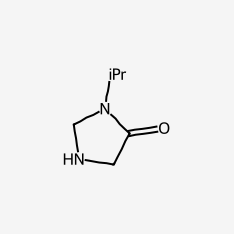 CC(C)N1CNCC1=O